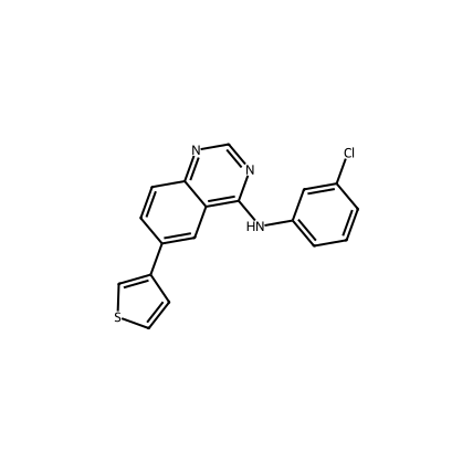 Clc1cccc(Nc2ncnc3ccc(-c4ccsc4)cc23)c1